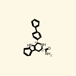 NC(=O)[C@@H]1Cc2c([nH]c3ccccc23)[C@H](c2ccc(-c3ccccc3)cc2)N1